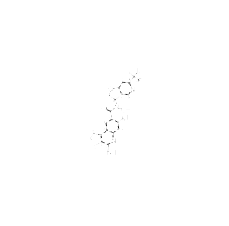 CN(C(=O)c1cc2c3c(c(N)nc2cc1Cl)COC3)[C@H]1COc2cc(C(F)(F)F)ncc21